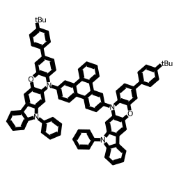 CC(C)(C)c1ccc(-c2ccc3c(c2)Oc2cc4c5ccccc5n(-c5ccccc5)c4cc2N3c2ccc3c4ccc(N5c6ccc(-c7ccc(C(C)(C)C)cc7)cc6Oc6cc7c8ccccc8n(-c8ccccc8)c7cc65)cc4c4ccccc4c3c2)cc1